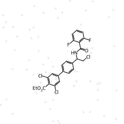 CCOC(=O)c1c(Cl)cc(-c2ccc(C(CCl)NC(=O)c3c(F)cccc3F)cc2)cc1Cl